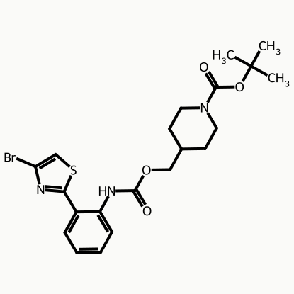 CC(C)(C)OC(=O)N1CCC(COC(=O)Nc2ccccc2-c2nc(Br)cs2)CC1